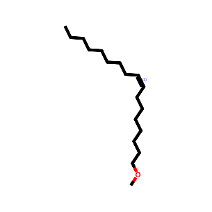 CCCCCCCC/C=C\CCCCCCCOC